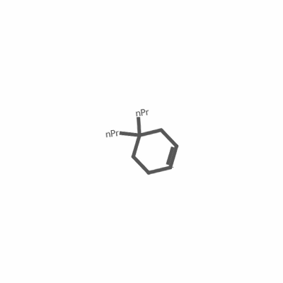 CCCC1(CCC)CC=[C]CC1